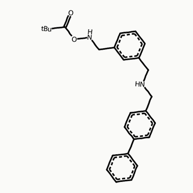 CC(C)(C)C(=O)ONCc1cccc(CNCc2ccc(-c3ccccc3)cc2)c1